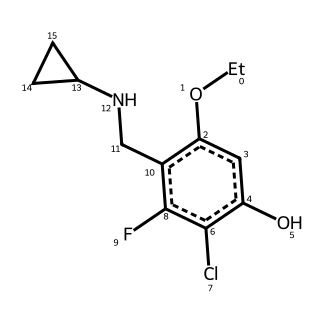 CCOc1cc(O)c(Cl)c(F)c1CNC1CC1